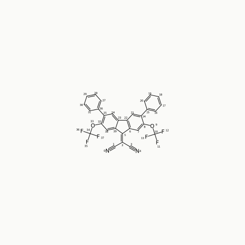 N#CC(C#N)=C1c2cc(OC(F)(F)F)c(-c3ccccc3)cc2-c2cc(-c3ccccc3)c(OC(F)(F)F)cc21